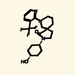 O=C1N([C@H]2CC[C@@H](O)CC2)CC[C@@]12CCCN(c1ncccc1C(F)(F)F)C2